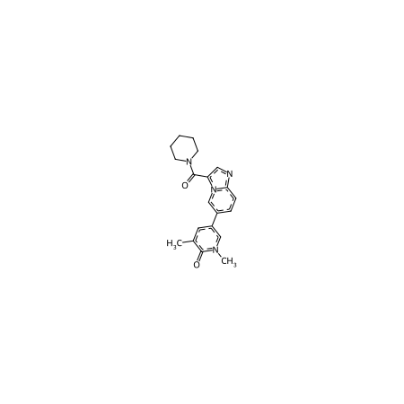 Cc1cc(-c2ccc3ncc(C(=O)N4CCCCC4)n3c2)cn(C)c1=O